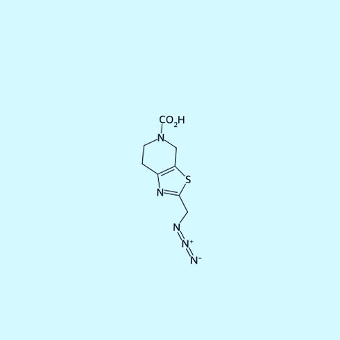 [N-]=[N+]=NCc1nc2c(s1)CN(C(=O)O)CC2